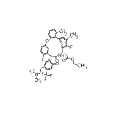 CCOC(=O)C[C@@H]1NC(=O)[C@H](n2cc(CCN(C)C)c(C(F)(F)F)cc2=O)c2cc(ccc2F)Oc2cccc(C)c2-c2cc(C)c(F)c1c2